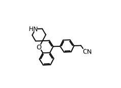 N#CCc1ccc(C2=CC3(CCNCC3)Oc3ccccc32)cc1